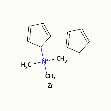 C[N+](C)(C)C1C=CC=C1.[CH]1C=CC=C1.[Zr]